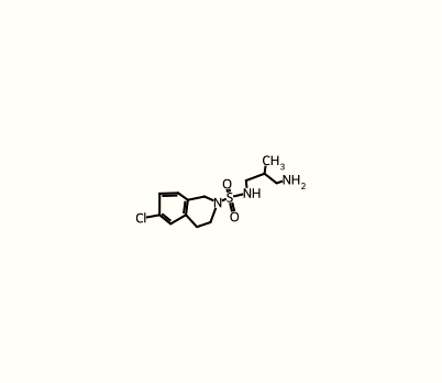 CC(CN)CNS(=O)(=O)N1CCc2cc(Cl)ccc2C1